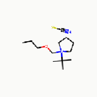 CCCOC[N+]1(C(C)(C)C)CCCC1.N#C[S-]